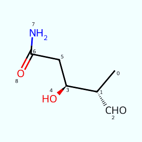 C[C@H](C=O)[C@@H](O)CC(N)=O